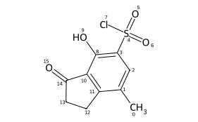 Cc1cc(S(=O)(=O)Cl)c(O)c2c1CCC2=O